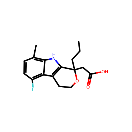 CCCC1(CC(=O)O)OCCc2c1[nH]c1c(C)ccc(F)c21